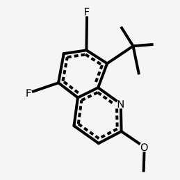 COc1ccc2c(F)cc(F)c(C(C)(C)C)c2n1